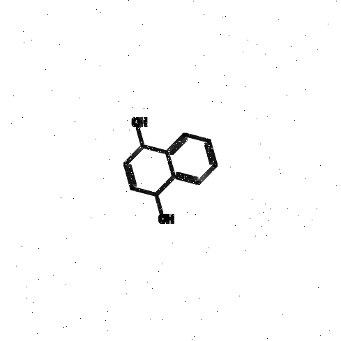 OC1C=CC(O)c2ccccc21